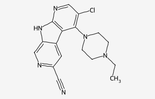 CCN1CCN(c2c(Cl)cnc3[nH]c4cnc(C#N)cc4c23)CC1